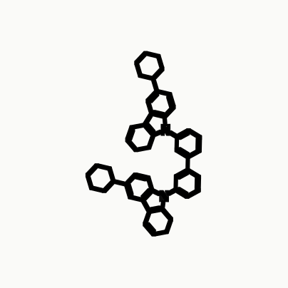 C1=Cc2c(n(-c3cccc(-c4cccc(-n5c6c(c7cc(C8CCCCC8)ccc75)C=CCC6)c4)c3)c3ccc(C4CCCCC4)cc23)CC1